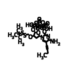 CCC#Cc1cn([C@H]2CC(OCSSC(C)(C)C)[C@@H](OP(=O)(O)OP(=O)(O)OP(=O)(O)O)O2)c(=O)nc1N